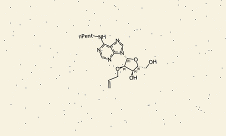 C=CCO[C@@H]1[C@H](O)[C@@H](CO)O[C@H]1n1cnc2c(NCCCCC)ncnc21